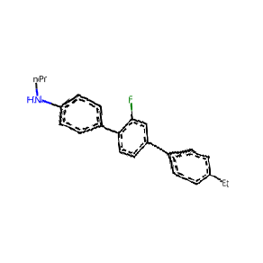 CCCNc1ccc(-c2ccc(-c3ccc(CC)cc3)cc2F)cc1